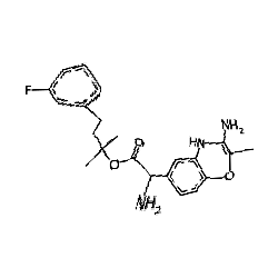 CC1=C(N)Nc2cc(C(N)C(=O)OC(C)(C)CCc3cccc(F)c3)ccc2O1